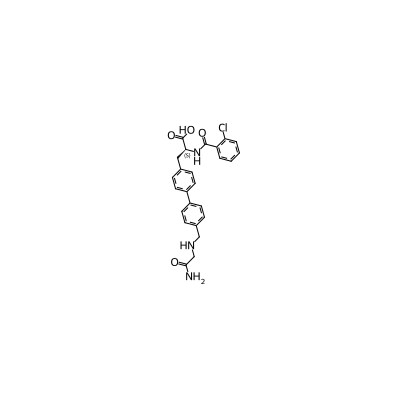 NC(=O)CNCc1ccc(-c2ccc(C[C@H](NC(=O)c3ccccc3Cl)C(=O)O)cc2)cc1